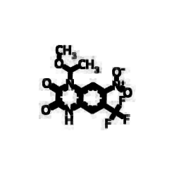 COC(C)n1c(=O)c(=O)[nH]c2cc(C(F)(F)F)c([N+](=O)[O-])cc21